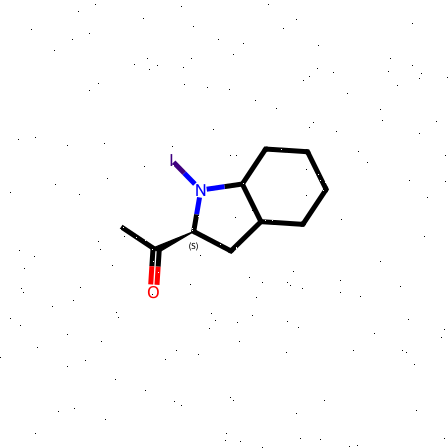 CC(=O)[C@@H]1CC2CCCCC2N1I